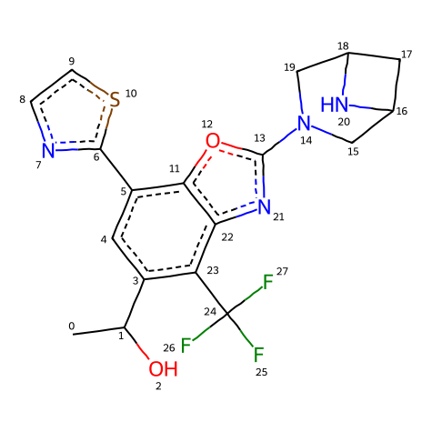 CC(O)c1cc(-c2nccs2)c2oc(N3CC4CC(C3)N4)nc2c1C(F)(F)F